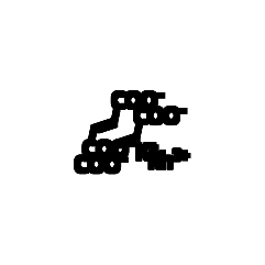 O=C([O-])C=CC(=O)[O-].O=C([O-])C=CC(=O)[O-].[K+].[Rh+3]